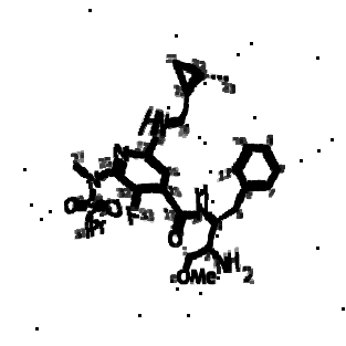 COC[C@H](N)[C@H](Cc1ccccc1)NC(=O)c1cc(NC[C@H]2C[C@@H]2C)nc(N(C)S(=O)(=O)C(C)C)c1F